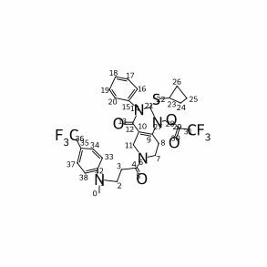 CN(CCC(=O)N1CCC2=C(C1)C(=O)N(c1ccccc1)C(SC1CCC1)N2OC(=O)C(F)(F)F)c1ccc(C(F)(F)F)cc1